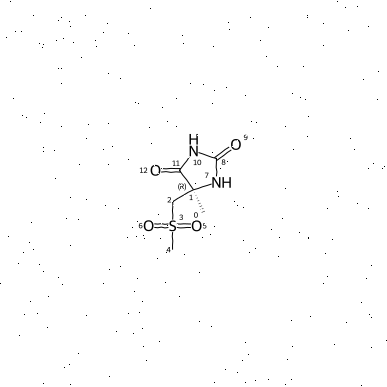 C[C@@]1(CS(C)(=O)=O)NC(=O)NC1=O